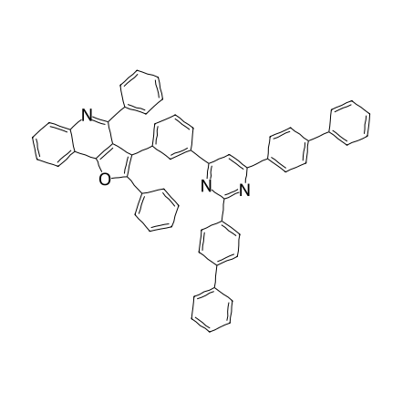 c1ccc(-c2ccc(-c3cc(-c4cccc(-c5c(-c6ccccc6)oc6c5c(-c5ccccc5)nc5ccccc56)c4)nc(-c4ccc(-c5ccccc5)cc4)n3)cc2)cc1